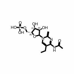 C=C1N=C(NC(C)=O)C(CC)=CN1C1O[C@H](COP(=O)(O)O)[C@@H](O)[C@H]1O